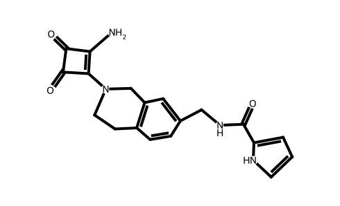 Nc1c(N2CCc3ccc(CNC(=O)c4ccc[nH]4)cc3C2)c(=O)c1=O